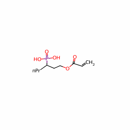 C=CC(=O)OCCC(CCC)P(=O)(O)O